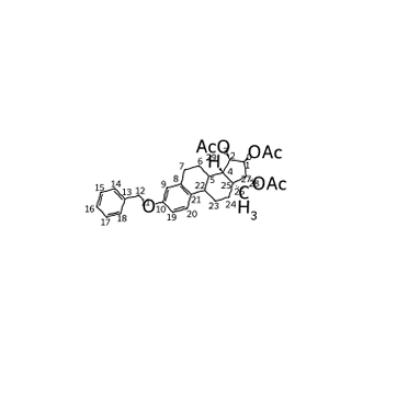 CC(=O)O[C@@H]1[C@H](OC(C)=O)[C@H]2C3CCc4cc(OCc5ccccc5)ccc4C3CC[C@]2(C)[C@H]1OC(C)=O